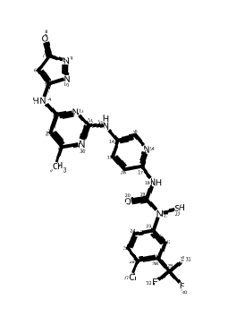 Cc1cc(NC2=CC(=O)N=N2)nc(Nc2ccc(NC(=O)N(S)c3ccc(Cl)c(C(F)(F)F)c3)nc2)n1